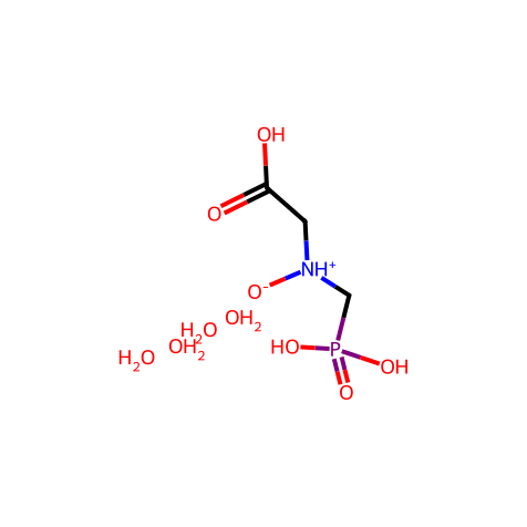 O.O.O.O.O=C(O)C[NH+]([O-])CP(=O)(O)O